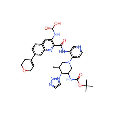 C[C@H]1CN(c2ccncc2NC(=O)c2nc3cc(C4=CCOCC4)ccc3cc2NC(=O)O)C[C@@H](NC(=O)OC(C)(C)C)[C@H]1n1ccnn1